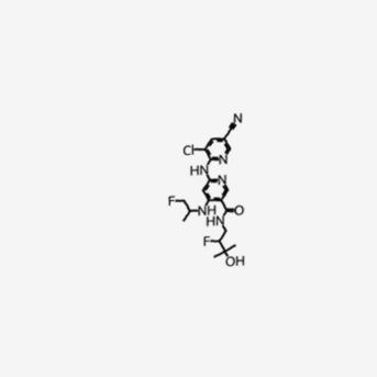 CC(CF)Nc1cc(Nc2ncc(C#N)cc2Cl)ncc1C(=O)NCC(F)C(C)(C)O